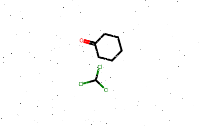 ClC(Cl)Cl.O=C1CCCCC1